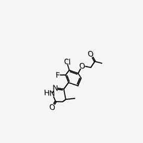 CC(=O)COc1ccc(C2=NNC(=O)CC2C)c(F)c1Cl